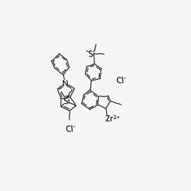 CC1=C2c3cn(-c4ccccc4)cc3C1[Si]2(C)C.CC1=Cc2c(-c3ccc([Si](C)(C)C)cc3)cccc2[CH]1[Zr+2].[Cl-].[Cl-]